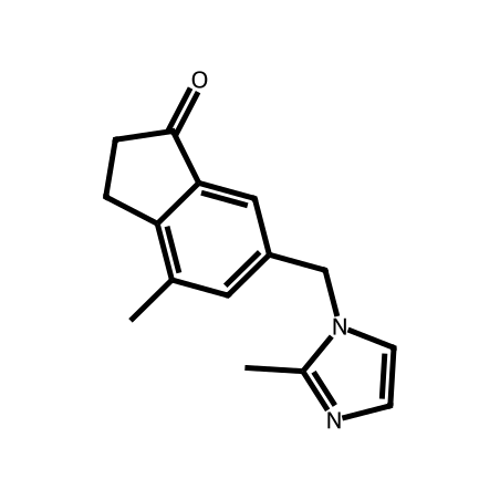 Cc1cc(Cn2ccnc2C)cc2c1CCC2=O